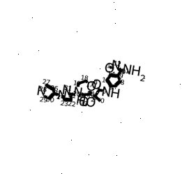 CC(O)(C(=O)Nc1ccc2c(N)noc2c1)[C@H]1OCCN(c2ccn(-c3ccncc3)n2)C1=O